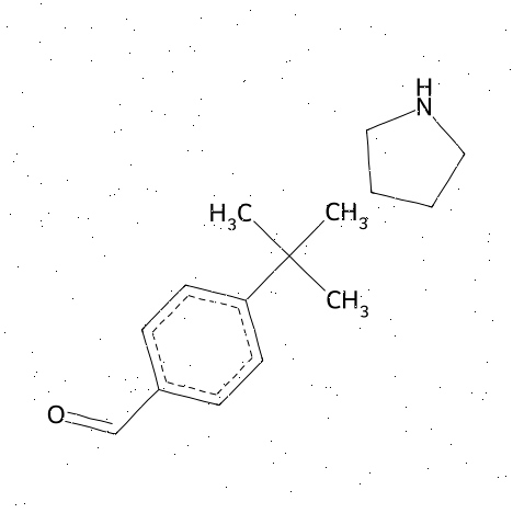 C1CCNC1.CC(C)(C)c1ccc(C=O)cc1